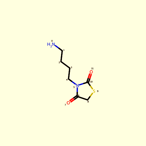 NCCCCN1C(=O)CSC1=O